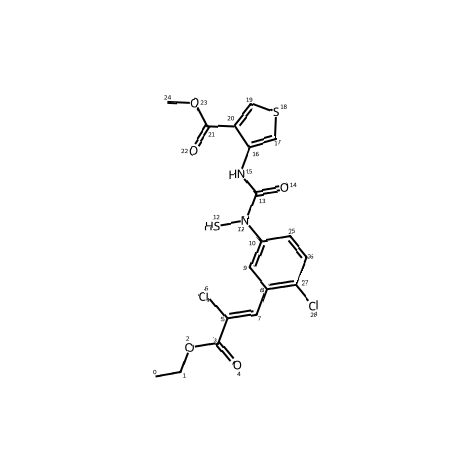 CCOC(=O)C(Cl)=Cc1cc(N(S)C(=O)Nc2cscc2C(=O)OC)ccc1Cl